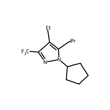 CCc1c(C(F)(F)F)nn(C2CCCC2)c1C(C)C